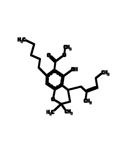 CC/C=C(/C)CC1CC(C)(C)Oc2cc(CCCCC)c(C(=O)OC)c(O)c21